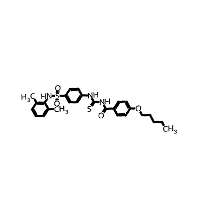 CCCCCOc1ccc(C(=O)NC(=S)Nc2ccc(S(=O)(=O)Nc3c(C)cccc3C)cc2)cc1